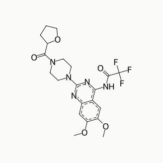 COc1cc2nc(N3CCN(C(=O)C4CCCO4)CC3)nc(NC(=O)C(F)(F)F)c2cc1OC